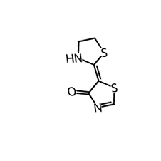 O=C1N=CSC1=C1NCCS1